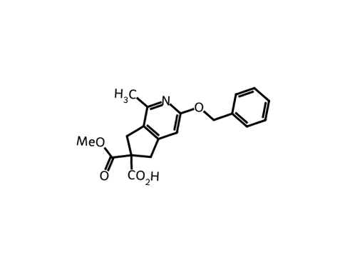 COC(=O)C1(C(=O)O)Cc2cc(OCc3ccccc3)nc(C)c2C1